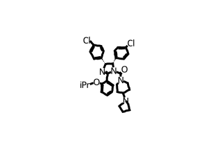 CC(C)Oc1ccccc1C1=N[C@H](c2ccc(Cl)cc2)[C@H](c2ccc(Cl)cc2)N1C(=O)N1CCC(N2CCCC2)CC1